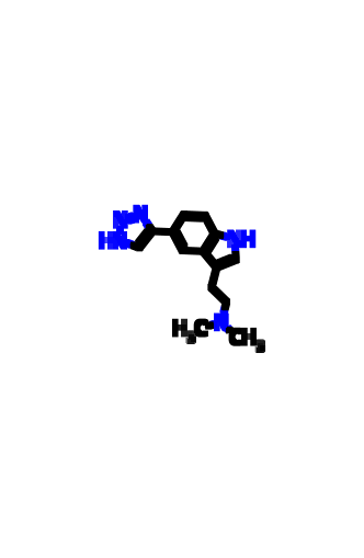 CN(C)CCc1c[nH]c2ccc(-c3c[nH]nn3)cc12